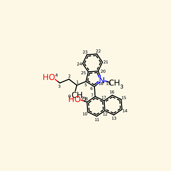 CC(CCO)c1c(-c2c(O)ccc3ccccc23)n(C)c2ccccc12